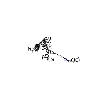 CCCCCCCC/C=C/CCCCCCCCOC[C@H](COP(=O)(O)OC[C@@]1(C#N)O[C@@H](c2ccc3c(N)ncnn23)C[C@@H]1O)OCc1cc(F)cc(C#N)c1